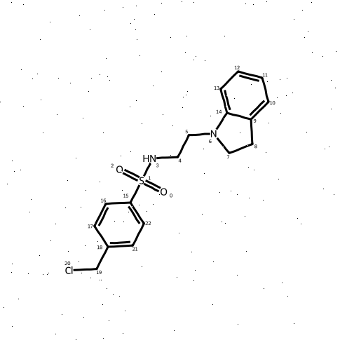 O=S(=O)(NCCN1CCc2ccccc21)c1ccc(CCl)cc1